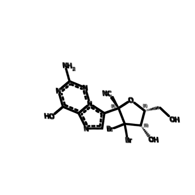 N#C[C@@]1(c2cnc3c(O)nc(N)nn23)O[C@H](CO)[C@H](O)C1(Br)Br